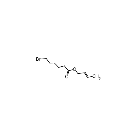 CC=CCOC(=O)CCCCCBr